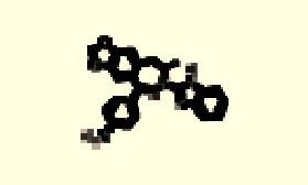 C[C@@H]1Cc2cc3c(cc2C(c2ccc(N)cc2)=NN1c1nc2ccccc2[nH]1)OCO3